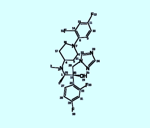 C[C@@H](N(C)C1CCN(c2ccc(F)cc2F)CC1)[C@](O)(Cn1cncn1)c1ccc(F)cc1F